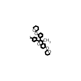 CC1=C(c2cccc(O[C@H]3CCCCO3)c2)C(c2ccc(I)cc2)Oc2ccc(OC3CCCCO3)cc21